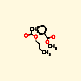 CCCCOC(C)=O.COC(=O)c1ccccc1